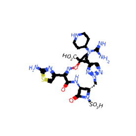 N=C(N)N(Cc1cnn(C[C@H]2[C@H](NC(=O)C(=NOC3(C(=O)O)CC3)c3csc(N)n3)C(=O)N2S(=O)(=O)O)n1)C1CCNCC1